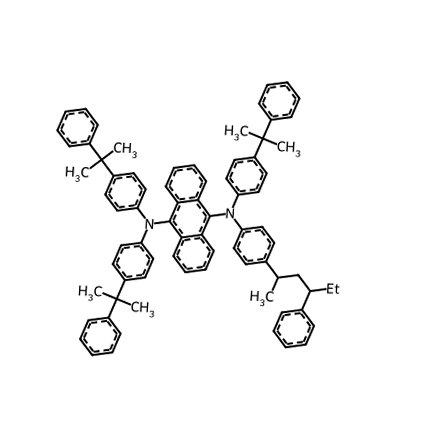 CCC(CC(C)c1ccc(N(c2ccc(C(C)(C)c3ccccc3)cc2)c2c3ccccc3c(N(c3ccc(C(C)(C)c4ccccc4)cc3)c3ccc(C(C)(C)c4ccccc4)cc3)c3ccccc23)cc1)c1ccccc1